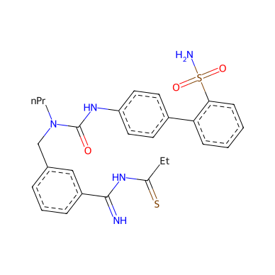 CCCN(Cc1cccc(C(=N)NC(=S)CC)c1)C(=O)Nc1ccc(-c2ccccc2S(N)(=O)=O)cc1